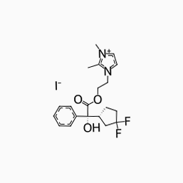 Cc1n(CCOC(=O)[C@](O)(c2ccccc2)[C@@H]2CCC(F)(F)C2)cc[n+]1C.[I-]